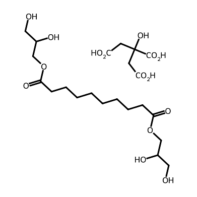 O=C(CCCCCCCCC(=O)OCC(O)CO)OCC(O)CO.O=C(O)CC(O)(CC(=O)O)C(=O)O